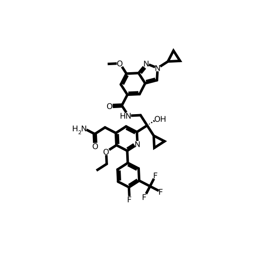 CCOc1c(CC(N)=O)cc([C@@](O)(CNC(=O)c2cc(OC)c3nn(C4CC4)cc3c2)C2CC2)nc1-c1ccc(F)c(C(F)(F)F)c1